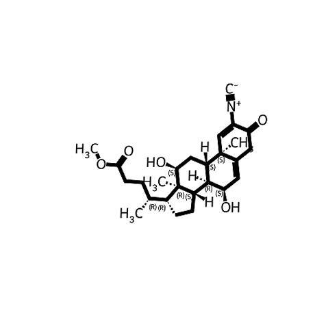 [C-]#[N+]C1=C[C@@]2(C)C(=C[C@@H](O)[C@H]3[C@@H]4CC[C@H]([C@H](C)CCC(=O)OC)[C@@]4(C)[C@@H](O)C[C@@H]32)CC1=O